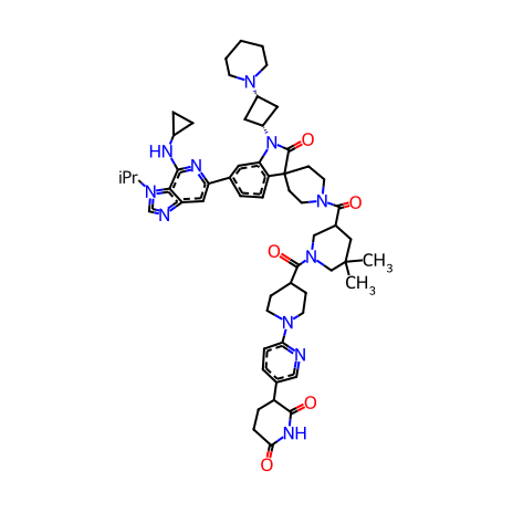 CC(C)n1cnc2cc(-c3ccc4c(c3)N([C@H]3C[C@@H](N5CCCCC5)C3)C(=O)C43CCN(C(=O)C4CN(C(=O)C5CCN(c6ccc(C7CCC(=O)NC7=O)cn6)CC5)CC(C)(C)C4)CC3)nc(NC3CC3)c21